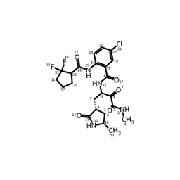 CNC(=O)C(=O)C(C[C@@H]1C[C@@H](C)NC1=O)NC(=O)c1cc(Cl)ccc1NC(=O)C1CCCC1(F)F